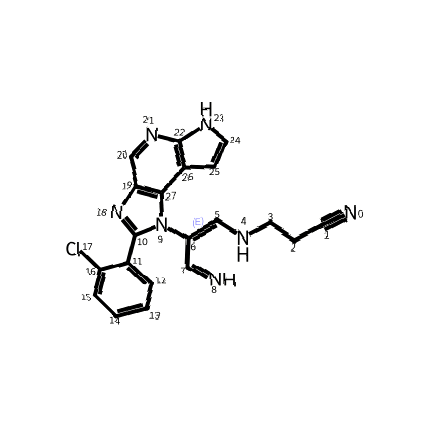 N#CCCN/C=C(\C=N)n1c(-c2ccccc2Cl)nc2cnc3[nH]ccc3c21